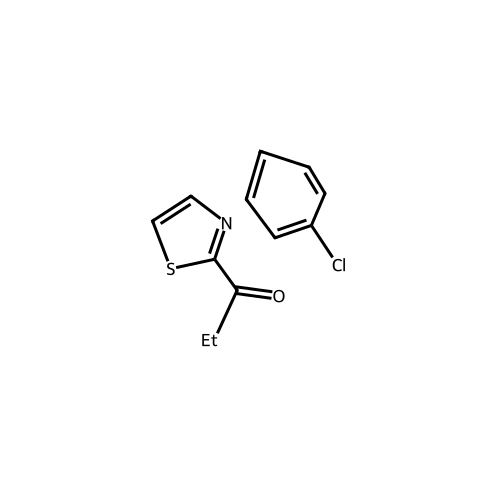 CCC(=O)c1nccs1.Clc1ccccc1